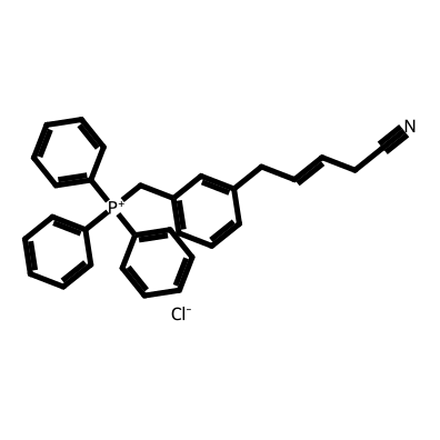 N#CCC=CCc1cccc(C[P+](c2ccccc2)(c2ccccc2)c2ccccc2)c1.[Cl-]